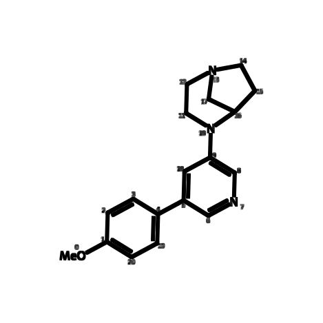 COc1ccc(-c2cncc(N3CCN4CCC3C4)c2)cc1